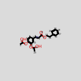 CC(O)Oc1ccc(/C=C/C(=O)OCCc2ccccc2)cc1OC(C)O